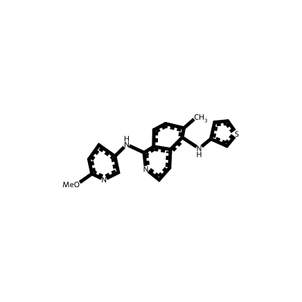 COc1ccc(Nc2nccc3c(Nc4ccsc4)c(C)ccc23)cn1